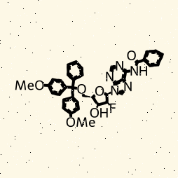 COc1ccc(C(OC[C@H]2O[C@@H](n3cnc4c(NC(=O)c5ccccc5)ncnc43)[C@@H](F)[C@H]2O)(c2ccccc2)c2ccc(OC)cc2)cc1